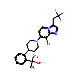 CC(C)(O)c1ccccc1C1CCN(c2ccn3c(CC(F)(F)F)cnc3c2Cl)CC1